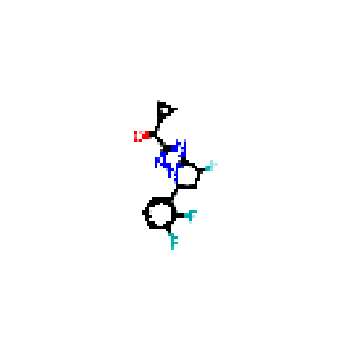 O=C(c1nc2n(n1)C(c1cccc(F)c1F)CC2F)C1CC1